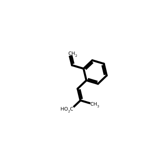 C=Cc1ccccc1/C=C(\C)C(=O)O